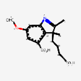 CC1=Nc2cc(OC=O)cc(C(=O)O)c2C1(C)CCCS(=O)(=O)O